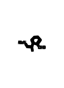 CN/C=C(/C)c1ccccc1C=O